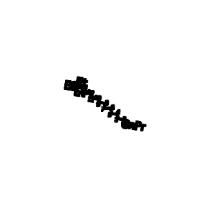 CCCOCCCCCCCCCCCCC[Si](CC)(CC)CC